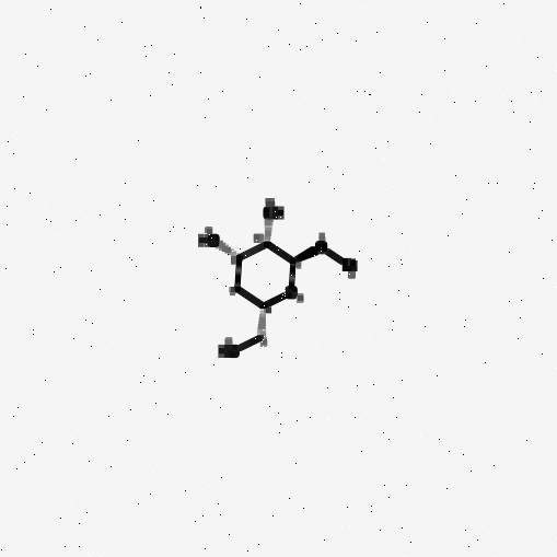 CCO[C@H]1O[C@H](CO)C[C@H](O)[C@@H]1O